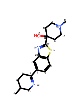 CC1CCC(c2ccc3sc(C4(O)CCN(C)CC4)nc3c2)=NC1